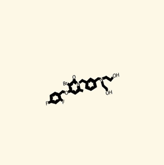 Cc1cc(OCc2ccc(F)cc2F)c(Br)c(=O)n1Cc1cccc(CN(CCO)CCO)c1